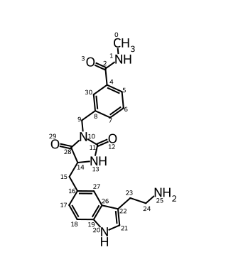 CNC(=O)c1cccc(CN2C(=O)NC(Cc3ccc4[nH]cc(CCN)c4c3)C2=O)c1